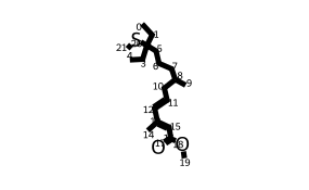 CCC(CC)(CCCC(C)CC=CC(C)=CC(=O)OC)SC